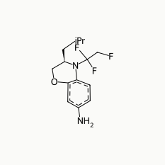 CC(C)C[C@@H]1COc2cc(N)ccc2N1C(F)(F)CF